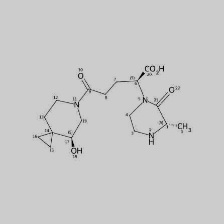 C[C@@H]1NCCN([C@@H](CCC(=O)N2CCC3(CC3)[C@H](O)C2)C(=O)O)C1=O